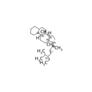 CC[C@H](/C=C/[C@@H](C)[C@H]1CC[C@H]2C3=CCC4C[CH]CC[C@]4(C)[C@H]3CC[C@]12C)C(C)C